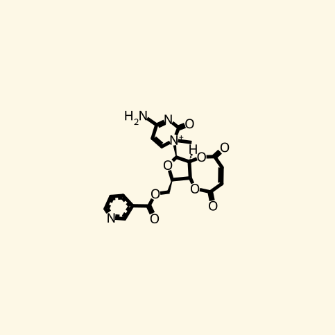 C[N+]1([C@@H]2O[C@H](COC(=O)c3cccnc3)C3OC(=O)/C=C\C(=O)O[C@@H]32)C=CC(N)=NC1=O